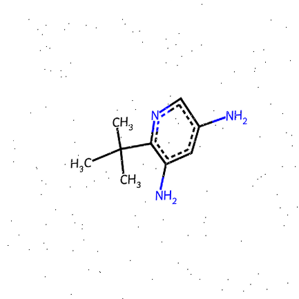 CC(C)(C)c1ncc(N)cc1N